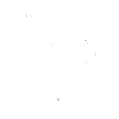 Cn1nnc(-c2ccc(O)cn2)c1COC(N)=O